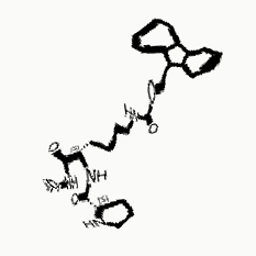 CC(C)NC(=O)[C@H](CCCCNC(=O)OCC1c2ccccc2-c2ccccc21)NC(=O)[C@@H]1CCCN1